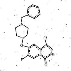 CCc1c[nH]c(=O)c2cc(F)c(OC3CCN(Cc4ccccc4)CC3)cc12